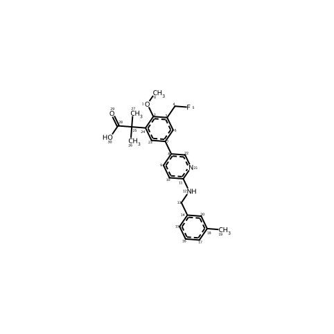 COc1c(CF)cc(-c2ccc(NCc3cccc(C)c3)nc2)cc1C(C)(C)C(=O)O